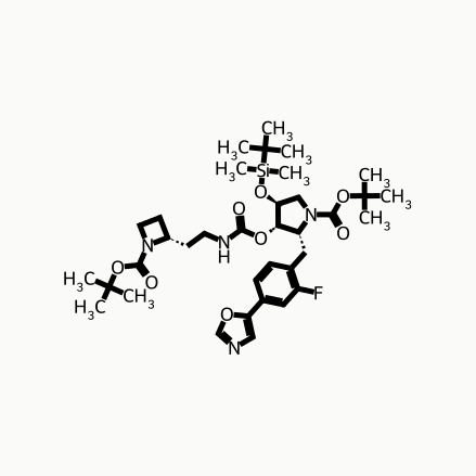 CC(C)(C)OC(=O)N1CC[C@@H]1CCNC(=O)O[C@@H]1[C@@H](O[Si](C)(C)C(C)(C)C)CN(C(=O)OC(C)(C)C)[C@@H]1Cc1ccc(-c2cnco2)cc1F